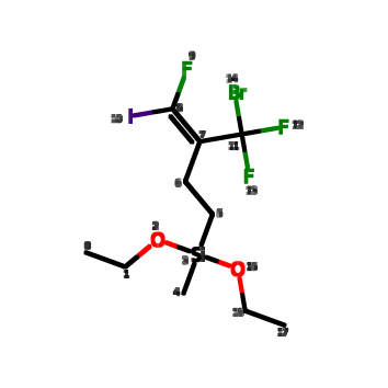 CCO[Si](C)(CC/C(=C(/F)I)C(F)(F)Br)OCC